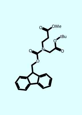 COC(=O)CCN(CC(=O)OC(C)(C)C)C(=O)OCC1c2ccccc2-c2ccccc21